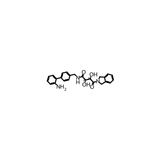 Nc1ccccc1-c1ccc(CNC(=O)[C@H](O)[C@@H](O)C(=O)N2Cc3ccccc3C2)cc1